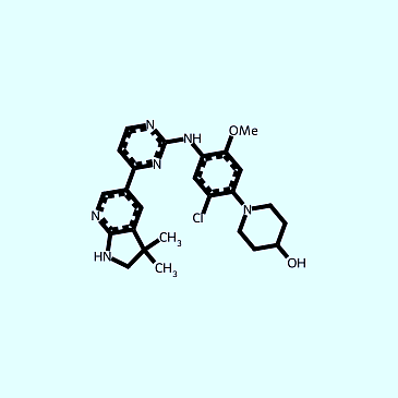 COc1cc(N2CCC(O)CC2)c(Cl)cc1Nc1nccc(-c2cnc3c(c2)C(C)(C)CN3)n1